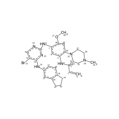 C=CC(=O)Nc1cc(Nc2ncc(Br)c(Nc3ccc4c(c3)CCC4)n2)c(OC)cc1N1CCN(C)CC1